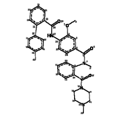 COc1cc(C(=O)N(C)c2ccccc2C(=O)N2CCN(C)CC2)ccc1NC(=O)c1ccccc1-c1ccc(C)cc1